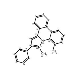 Cc1cccc2c3ccccc3c3cc(-c4ccccc4)[n+](C)n3c12